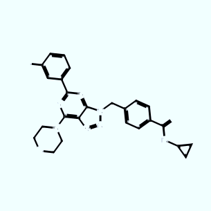 O=C(NC1CC1)c1ccc(Cn2nnc3c(N4CCOCC4)nc(-c4cccc(O)c4)nc32)cc1